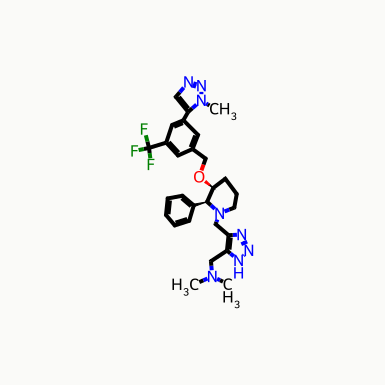 CN(C)Cc1[nH]nnc1CN1CCC[C@H](OCc2cc(-c3cnnn3C)cc(C(F)(F)F)c2)[C@@H]1c1ccccc1